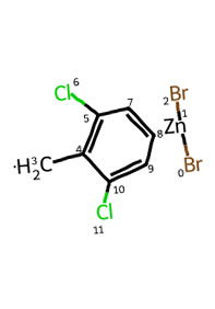 [Br][Zn][Br].[CH2]c1c(Cl)cccc1Cl